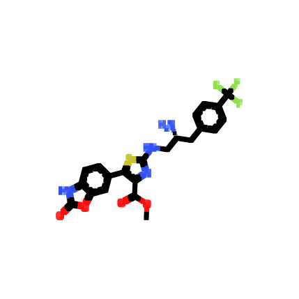 COC(=O)c1nc(NC[C@H](N)Cc2ccc(C(F)(F)F)cc2)sc1-c1ccc2[nH]c(=O)oc2c1